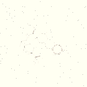 CC1(/C(=N/C#N)NC2C3CC4CC2CC(C(N)=O)(C4)C3)CCCN(Cc2ccc(Cl)cc2)C1